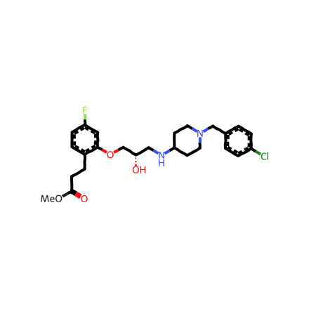 COC(=O)CCc1ccc(F)cc1OC[C@@H](O)CNC1CCN(Cc2ccc(Cl)cc2)CC1